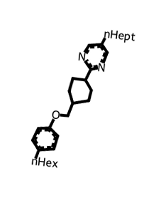 CCCCCCCc1cnc(C2CCC(COc3ccc(CCCCCC)cc3)CC2)nc1